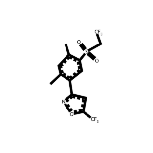 Cc1cc(C)c(S(=O)(=O)CC(F)(F)F)cc1-c1cc(C(F)(F)F)on1